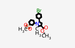 CCOC(=O)c1cc(-c2ccc(Br)cc2)n(-c2cccc(S(C)(=O)=O)c2)c1C